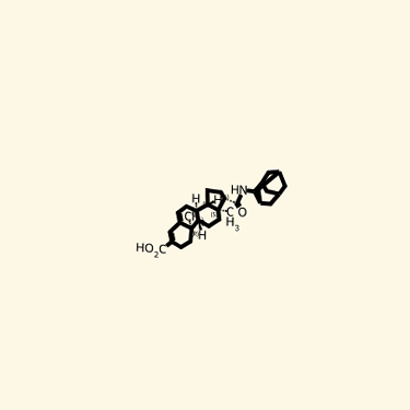 C[C@]12CC[C@H]3[C@@H](CC=C4C=C(C(=O)O)CC[C@@]43C)[C@@H]1CC[C@@H]2C(=O)NC1C2CC3CC(C2)CC1C3